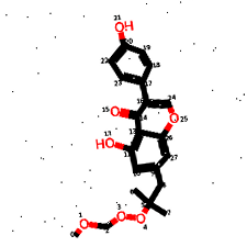 COCOOC(C)(C)Cc1cc(O)c2c(=O)c(-c3ccc(O)cc3)coc2c1